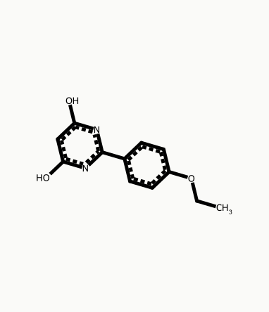 CCOc1ccc(-c2nc(O)cc(O)n2)cc1